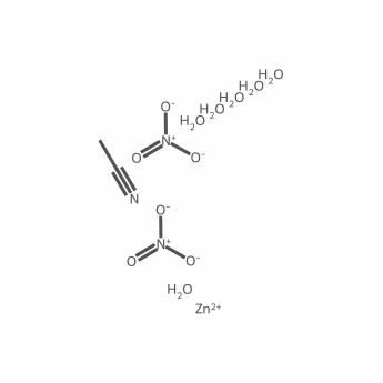 CC#N.O.O.O.O.O.O.O=[N+]([O-])[O-].O=[N+]([O-])[O-].[Zn+2]